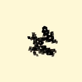 CC(C)(C)OC(=O)OC[C@H]1C[C@@H](Nc2nc(N)nc(Cl)c2-c2nc3ccccc3s2)[C@H](OC(=O)OC(C)(C)C)[C@@H]1OC(=O)OC(C)(C)C